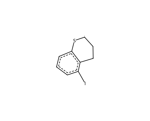 Ic1cccc2c1CC[CH]S2